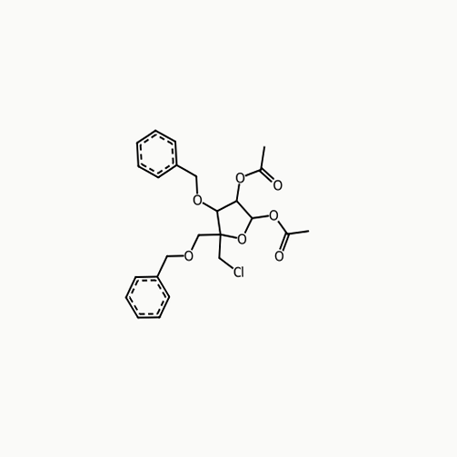 CC(=O)OC1OC(CCl)(COCc2ccccc2)C(OCc2ccccc2)C1OC(C)=O